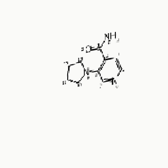 NC(=O)c1ccncc1N1CCCC1